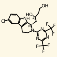 OCC[C@H](O)C[C@@H]1c2[nH]c3ccc(Cl)cc3c2CCN1c1nc(C(F)(F)F)nc(C(F)(F)F)n1